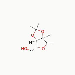 CC1O[C@H](CO)[C@H]2OC(C)(C)O[C@@H]12